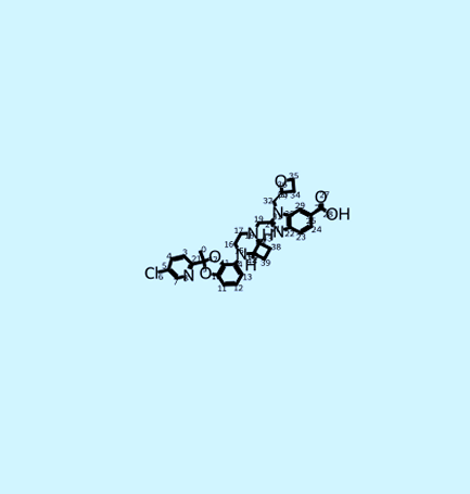 CC1(c2ccc(Cl)cn2)Oc2cccc(N3CCN(Cc4nc5ccc(C(=O)O)cc5n4C[C@@H]4CCO4)[C@@H]4CC[C@@H]43)c2O1